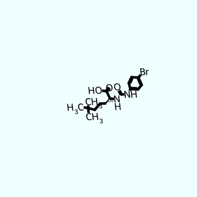 CC(C)(C)CCC[C@H](NC(=O)Nc1ccc(Br)cc1)C(=O)O